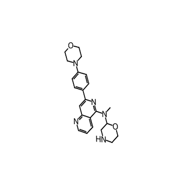 CN(c1nc(-c2ccc(N3CCOCC3)cc2)cc2ncccc12)C1CNCCO1